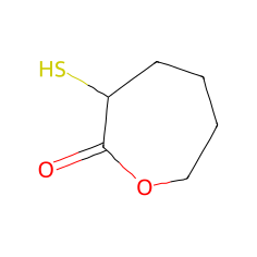 O=C1OCCCCC1S